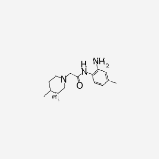 Cc1ccc(NC(=O)CN2CCC(C)[C@@H](C)C2)c(N)c1